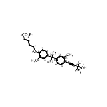 CCOC(=O)CCCCOc1ccc(C(CC)(CC)c2ccc(C#CC(O)(C(F)(F)F)C(F)(F)F)c(C)c2)cc1C